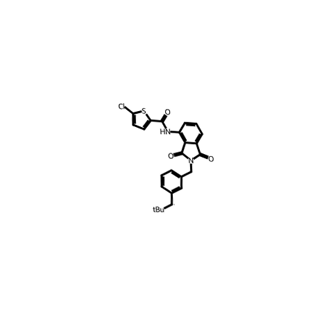 CC(C)(C)[CH]c1cccc(CN2C(=O)c3cccc(NC(=O)c4ccc(Cl)s4)c3C2=O)c1